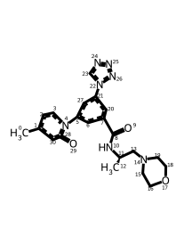 Cc1ccn(-c2cc(C(=O)N[C@H](C)CN3CCOCC3)cc(-n3cnnn3)c2)c(=O)c1